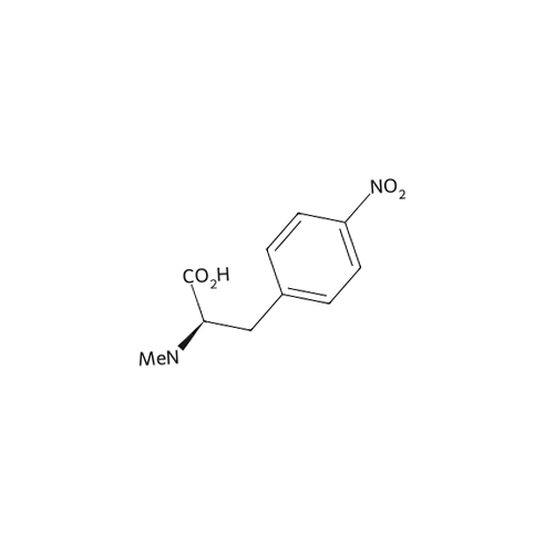 CN[C@H](Cc1ccc([N+](=O)[O-])cc1)C(=O)O